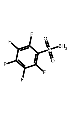 BS(=O)(=O)c1c(F)c(F)c(F)c(F)c1F